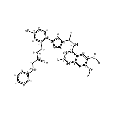 COc1cc2nc(C)nc(NC(C)c3ccc(-c4ccc(F)cc4CNC(=O)CNc4ccccc4)s3)c2cc1OC